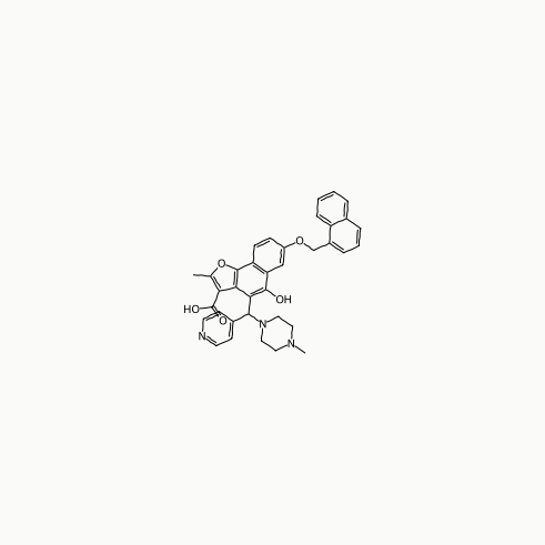 Cc1oc2c(c1C(=O)O)c(C(c1ccncc1)N1CCN(C)CC1)c(O)c1cc(OCc3cccc4ccccc34)ccc12